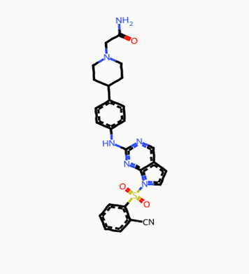 N#Cc1ccccc1S(=O)(=O)n1ccc2cnc(Nc3ccc(C4CCN(CC(N)=O)CC4)cc3)nc21